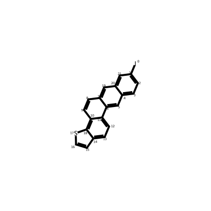 Ic1ccc2cc3c(ccc4c3ccc3ccsc34)cc2c1